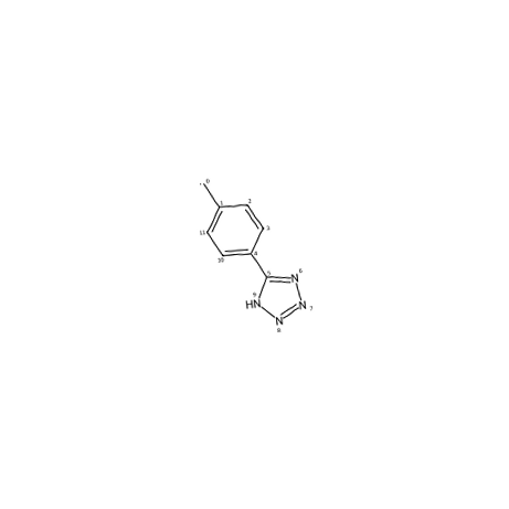 [CH2]c1ccc(-c2nnn[nH]2)cc1